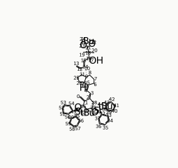 C=C1/C(=C\C=C2/CCC[C@]3(C)[C@@H](C(=C)/C=C/[C@H](O)C(C)(C)C(=O)OC(C)CC)CC[C@@H]23)C[C@@H](O[Si](c2ccccc2)(c2ccccc2)C(C)(C)C)C[C@@H]1O[Si](c1ccccc1)(c1ccccc1)C(C)(C)C